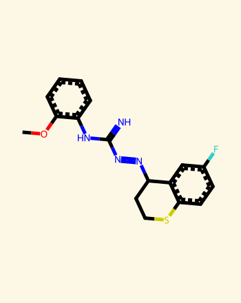 COc1ccccc1NC(=N)N=NC1CCSc2ccc(F)cc21